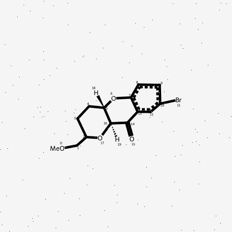 COCC1CC[C@@H]2Oc3ccc(Br)cc3C(=O)[C@H]2O1